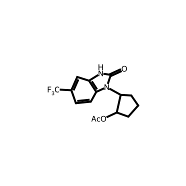 CC(=O)OC1CCCC1n1c(=O)[nH]c2cc(C(F)(F)F)ccc21